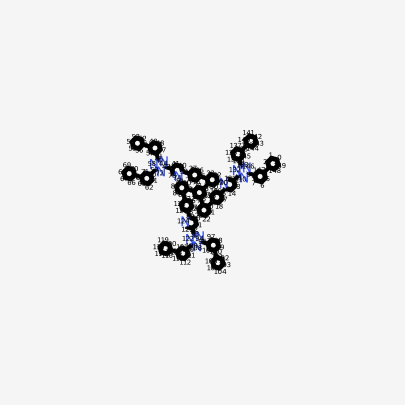 c1ccc(-c2cccc(-c3nc(-c4ccc(-c5ccc(-c6ccccc6-c6cc(-c7ccccc7-c7ccc(-c8ccc(-c9nc(-c%10cccc(-c%11ccccc%11)c%10)nc(-c%10cccc(-c%11ccccc%11)c%10)n9)cn8)cc7)cc(-c7ccccc7-c7ccc(-c8ccc(-c9nc(-c%10cccc(-c%11ccccc%11)c%10)nc(-c%10cccc(-c%11ccccc%11)c%10)n9)cn8)cc7)c6)cc5)nc4)nc(-c4cccc(-c5ccccc5)c4)n3)c2)cc1